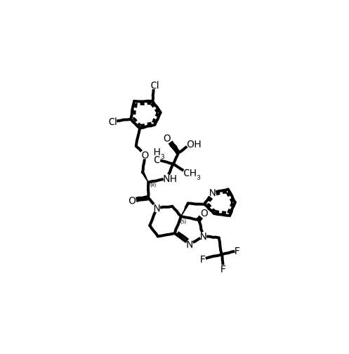 CC(C)(N[C@H](COCc1ccc(Cl)cc1Cl)C(=O)N1CCC2=NN(CC(F)(F)F)C(=O)[C@@]2(Cc2ccccn2)C1)C(=O)O